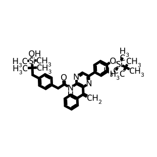 C=C(c1ccccc1)c1nc(-c2ccc(O[Si](C)(C)C(C)(C)C)cc2)cnc1NC(=O)Cc1ccc(CC(C)(C)[Si](C)(C)O)cc1